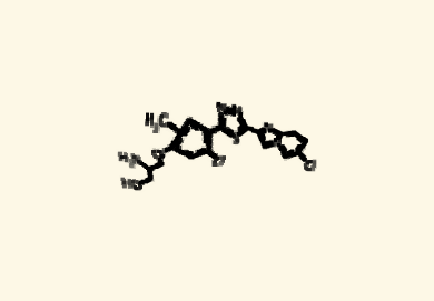 Cc1cc(-c2nnc(-c3cn4cc(Cl)ccc4n3)s2)c(Cl)cc1OCC(N)CO